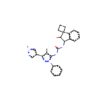 Cc1c(-c2cnn(C)c2)nn(-c2ccccc2)c1NC(=O)NC1c2ccccc2C2(CCC2)C1O